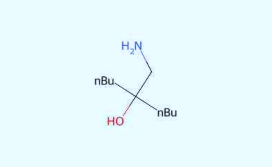 CCCCC(O)(CN)CCCC